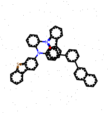 c1cc(-c2ccc(N(c3ccc4c(c3)sc3ccccc34)c3ccccc3-n3c4ccccc4c4ccccc43)cc2)cc(-c2ccc3ccccc3c2)c1